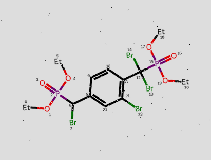 CCOP(=O)(OCC)C(Br)c1ccc(C(Br)(Br)P(=O)(OCC)OCC)c(Br)c1